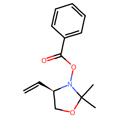 C=C[C@@H]1COC(C)(C)N1OC(=O)c1ccccc1